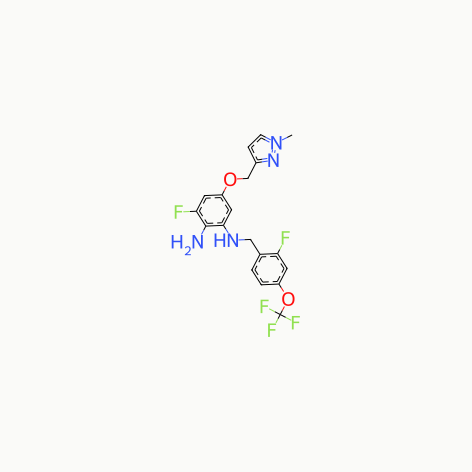 Cn1ccc(COc2cc(F)c(N)c(NCc3ccc(OC(F)(F)F)cc3F)c2)n1